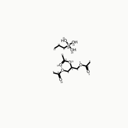 CC(=O)OCC(COC(C)=O)OC(C)=O.CCC[Si](O)(O)O